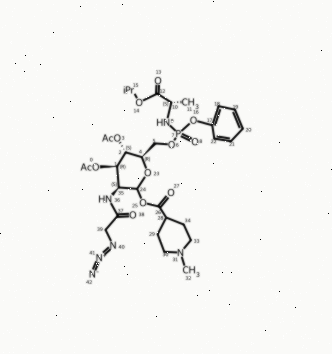 CC(=O)O[C@H]1[C@H](OC(C)=O)[C@@H](COP(=O)(N[C@@H](C)C(=O)OC(C)C)Oc2ccccc2)OC(OC(=O)C2CCN(C)CC2)[C@H]1NC(=O)CN=[N+]=[N-]